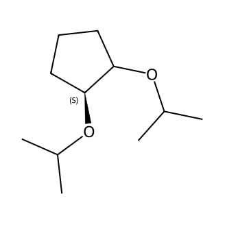 CC(C)OC1CCC[C@@H]1OC(C)C